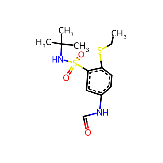 CCSc1ccc(NC=O)cc1S(=O)(=O)NC(C)(C)C